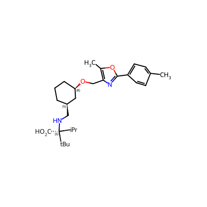 Cc1ccc(-c2nc(CO[C@@H]3CCC[C@H](CN[C@@](C(=O)O)(C(C)C)C(C)(C)C)C3)c(C)o2)cc1